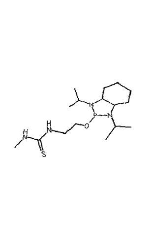 CNC(=S)NCCOP1N(C(C)C)C2CCCCC2N1C(C)C